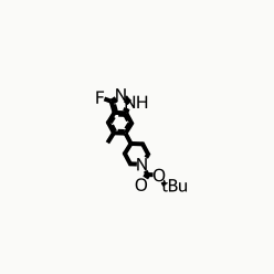 Cc1cc2c(F)n[nH]c2cc1C1CCN(C(=O)OC(C)(C)C)CC1